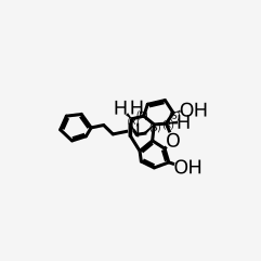 Oc1ccc2c3c1O[C@H]1[C@@H](O)C=C[C@H]4[C@@H](C2)N(CCc2ccccc2)CC[C@@]341